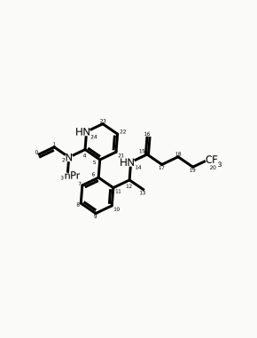 C=CN(CCC)C1=C(c2ccccc2C(C)NC(=C)CCCC(F)(F)F)C=CCN1